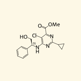 COC(=O)c1nc(C2CC2)nc(N[C@H](CO)c2ccccc2)c1Cl